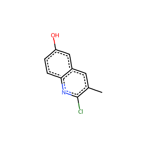 Cc1cc2cc(O)ccc2nc1Cl